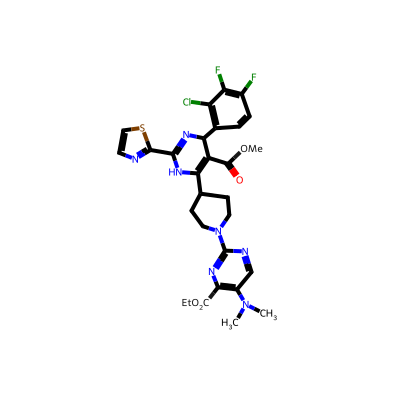 CCOC(=O)c1nc(N2CCC(C3=C(C(=O)OC)C(c4ccc(F)c(F)c4Cl)N=C(c4nccs4)N3)CC2)ncc1N(C)C